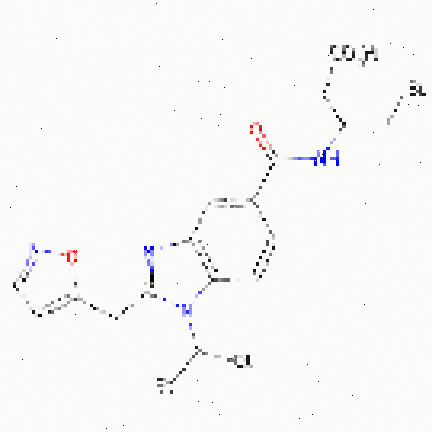 CCC(C)CC(CC(=O)O)NC(=O)c1ccc2c(c1)nc(Cc1ccno1)n2C(CC)CC